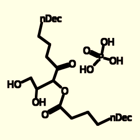 CCCCCCCCCCCCCC(=O)OC(C(=O)CCCCCCCCCCCCC)C(O)CO.O=P(O)(O)O